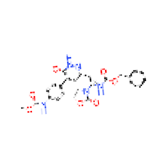 COC(=O)Nc1ccc(-c2cc(C[C@@H](NC(=O)OCc3ccccc3)N3CCOC3=O)n[nH]c2=O)cc1